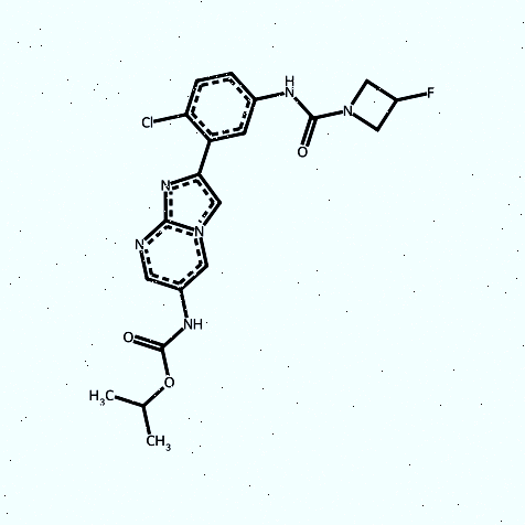 CC(C)OC(=O)Nc1cnc2nc(-c3cc(NC(=O)N4CC(F)C4)ccc3Cl)cn2c1